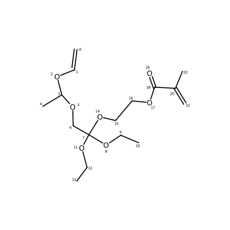 C=COC(C)OCC(OCC)(OCC)OCCOC(=O)C(=C)C